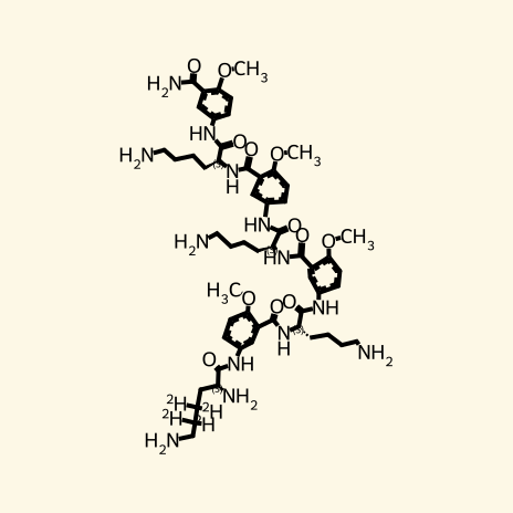 [2H]C([2H])(CN)C([2H])([2H])C[C@H](N)C(=O)Nc1ccc(OC)c(C(=O)N[C@@H](CCCCN)C(=O)Nc2ccc(OC)c(C(=O)N[C@@H](CCCCN)C(=O)Nc3ccc(OC)c(C(=O)N[C@@H](CCCCN)C(=O)Nc4ccc(OC)c(C(N)=O)c4)c3)c2)c1